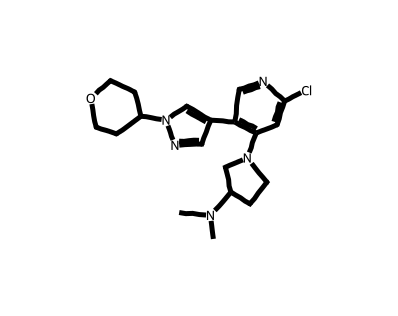 CN(C)C1CCN(c2cc(Cl)ncc2-c2cnn(C3CCOCC3)c2)C1